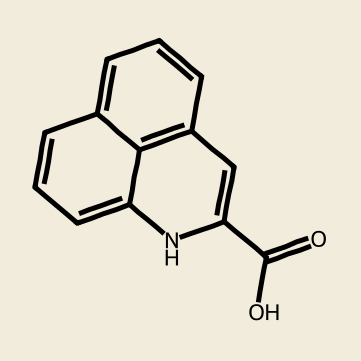 O=C(O)C1=Cc2cccc3cccc(c23)N1